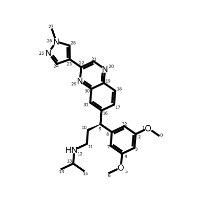 COc1cc(OC)cc([C@@H](CCNC(C)C)c2ccc3ncc(-c4cnn(C)c4)nc3c2)c1